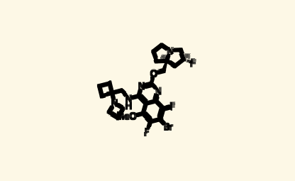 COc1c(F)c(Br)c(F)c2nc(OC[C@@]34CCCN3C[C@H](F)C4)nc(NCC3(N4CCC4)CCC3)c12